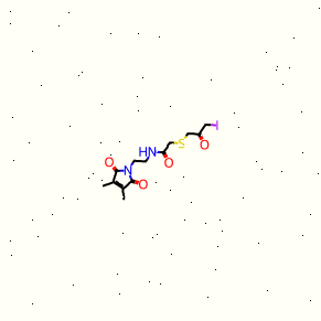 CC1=C(C)C(=O)N(CCNC(=O)CSCC(=O)CI)C1=O